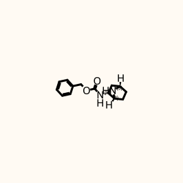 O=C(N[C@@H]1C[C@@H]2CC[C@H]1N2)OCc1ccccc1